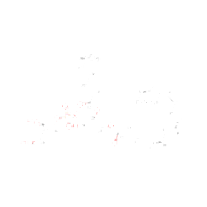 CCCCC/C=C\C/C=C\C/C=C\C/C=C\CCCC(=O)OC[C@H](COP(=O)(O)OC[C@@H](O)CO)OC(=O)CCCCCCCCCCCCCC